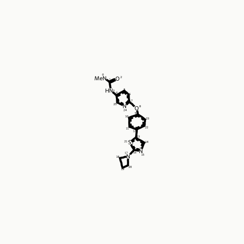 CNC(=O)Nc1ccc(Oc2ccc(-c3cnc(N4CCC4)s3)cc2)nc1